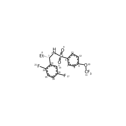 CC[C@H](NS(=O)(=O)c1ccc(OC(F)(F)F)cc1)c1cc(F)ccc1F